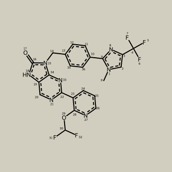 Cn1cc(C(F)(F)F)nc1-c1ccc(Cn2c(=O)[nH]c3cnc(-c4cccnc4OC(F)F)nc32)cc1